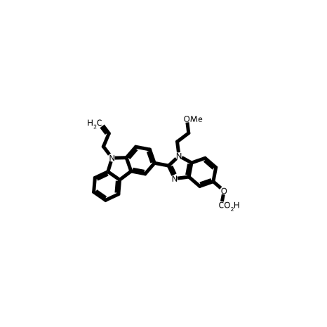 C=CCn1c2ccccc2c2cc(-c3nc4cc(OC(=O)O)ccc4n3CCOC)ccc21